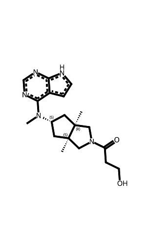 CN(c1ncnc2[nH]ccc12)[C@@H]1C[C@@]2(C)CN(C(=O)CCO)C[C@@]2(C)C1